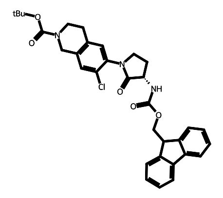 CC(C)(C)OC(=O)N1CCc2cc(N3CC[C@H](NC(=O)OCC4c5ccccc5-c5ccccc54)C3=O)c(Cl)cc2C1